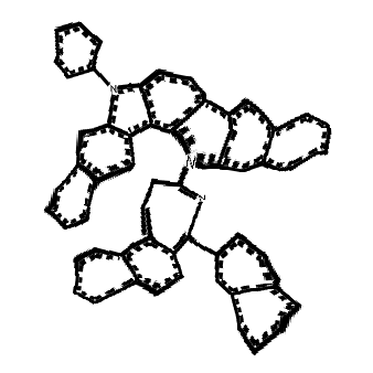 C1=c2c(ccc3ccccc23)=C(c2ccc3ccccc3c2)N=C(n2c3cc4ccccc4cc3c3ccc4c(c5cc6ccccc6cc5n4-c4ccccc4)c32)C1